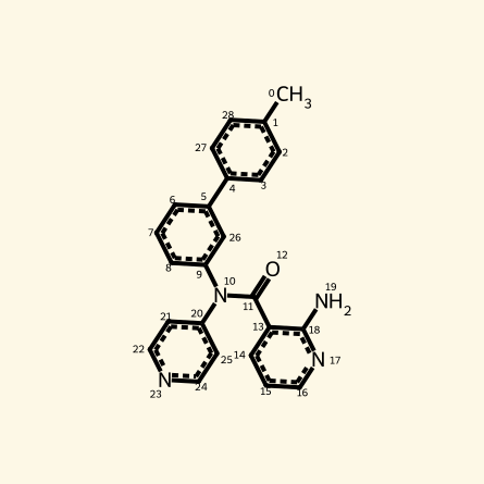 Cc1ccc(-c2cccc(N(C(=O)c3cccnc3N)c3ccncc3)c2)cc1